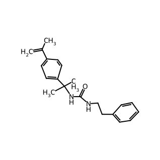 C=C(C)c1ccc(C(C)(C)NC(=O)NCCc2ccccc2)cc1